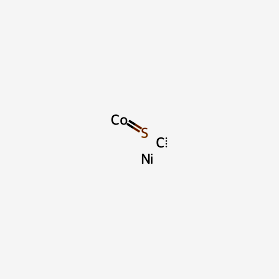 [C].[Ni].[S]=[Co]